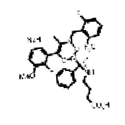 COc1cccc(-c2on([C@@](C)(NCCCC(=O)O)c3ccccc3)on(Cc3c(F)cccc3C(F)(F)F)c2C)c1F.[NaH]